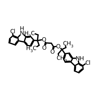 CCC(CC)(OC(=O)CC(=O)OC(CC)(CC)c1ccc2c(c1)[nH]c1c(Cl)cccc12)c1ccc2c(c1)[nH]c1c(Cl)cccc12